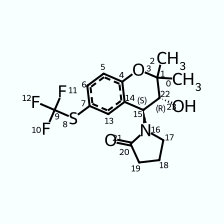 CC1(C)Oc2ccc(SC(F)(F)F)cc2[C@H](N2CCCC2=O)[C@H]1O